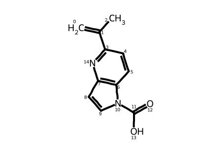 C=C(C)c1ccc2c(ccn2C(=O)O)n1